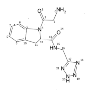 NCC(=O)N1c2ccccc2C[C@H]1C(=O)NCc1nn[nH]n1